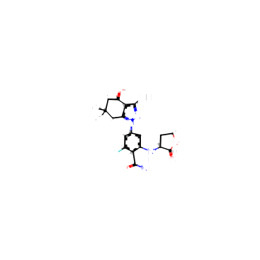 Cc1nn(-c2cc(F)c(C(N)=O)c(NC3CCOC3=O)c2)c2c1C(=O)CC(C)(C)C2